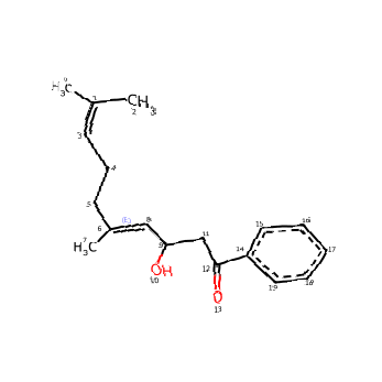 CC(C)=CCC/C(C)=C/C(O)CC(=O)c1ccccc1